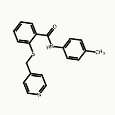 Cc1ccc(NC(=O)c2ccccc2SCc2ccncc2)cc1